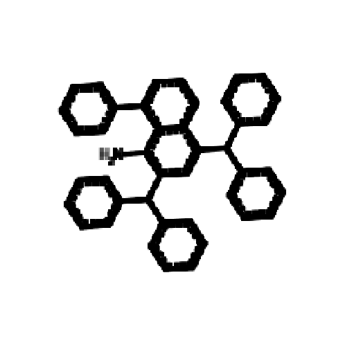 Nc1c(C(c2ccccc2)c2ccccc2)cc(C(c2ccccc2)c2ccccc2)c2cccc(-c3ccccc3)c12